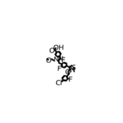 COCCn1c(Cc2c(F)cc(-c3csnc3OCc3ccc(Cl)cc3F)cc2F)nc2ccc(C(=O)O)cc21